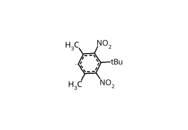 Cc1[c]c(C)c([N+](=O)[O-])c(C(C)(C)C)c1[N+](=O)[O-]